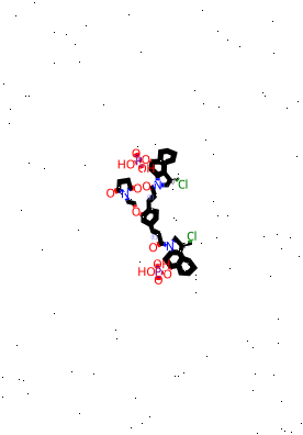 O=C1C=CC(=O)N1CCOc1cc(/C=C/C(=O)N2C[C@@H](CCl)c3c2cc(OP(=O)(O)O)c2ccccc32)ccc1/C=C/C(=O)N1C[C@@H](CCl)c2c1cc(OP(=O)(O)O)c1ccccc21